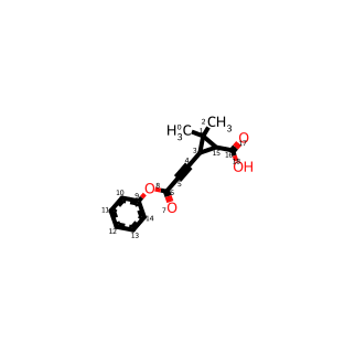 CC1(C)C(C#CC(=O)Oc2ccccc2)C1C(=O)O